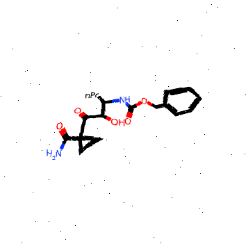 CCCC(NC(=O)OCc1ccccc1)C(O)C(=O)C1(C(N)=O)CC1